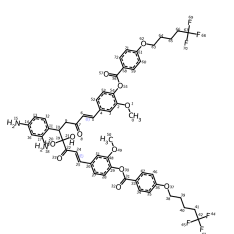 COc1cc(/C=C/C(=O)CC(c2ccc(N)cc2N)C(O)(O)C(=O)/C=C/c2ccc(OC(=O)c3ccc(OCCCCC(F)(F)F)cc3)c(OC)c2)ccc1OC(=O)c1ccc(OCCCCC(F)(F)F)cc1